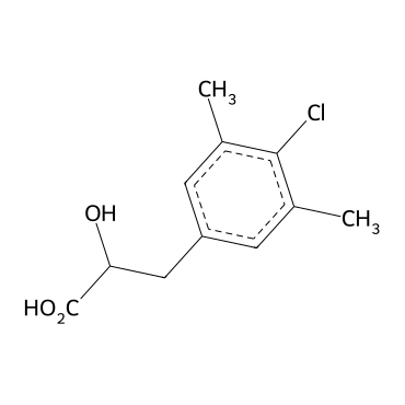 Cc1cc(CC(O)C(=O)O)cc(C)c1Cl